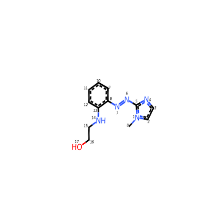 Cn1ccnc1/N=N/c1ccccc1NCCO